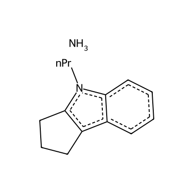 CCCn1c2c(c3ccccc31)CCC2.N